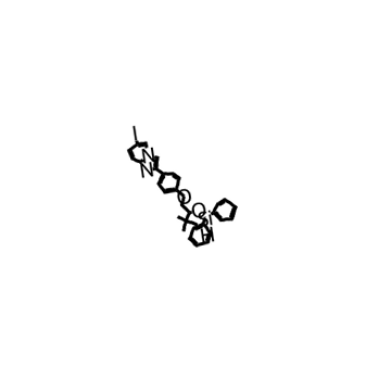 CC(C)(C)C(COc1ccc(-c2cn3cc(I)ccc3n2)cc1)O[SiH](c1ccccc1)c1ccccc1